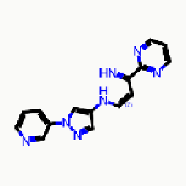 N=C(/C=C\Nc1cnn(-c2cccnc2)c1)c1ncccn1